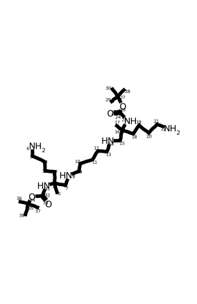 CC(CCCCN)(CNCCCCCNCC(C)(CCCCN)NC(=O)OC(C)(C)C)NC(=O)OC(C)(C)C